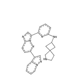 c1cc(NC2CC3(CCNC3)C2)nc(-c2cnc3ccc(-c4cnn5ccccc45)nn23)c1